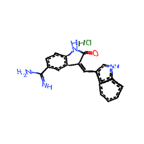 Cl.N=C(N)c1ccc2c(c1)C(=Cc1c[nH]c3ccccc13)C(=O)N2